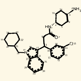 N[C@H]1CC[C@H](NC(=O)CC(c2cccc(Cl)c2)c2cn(CC3CCCCC3)c3ccccc23)CC1